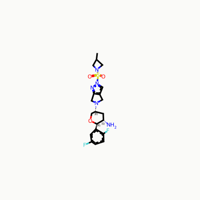 CC1CN(S(=O)(=O)n2cc3c(n2)CN([C@H]2CO[C@H](c4cc(F)ccc4F)[C@@H](N)C2)C3)C1